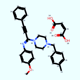 COc1ccc(/N=C(/C#Cc2ccccc2)N2CCN(Cc3ccc(C)cc3)CC2)cc1.O=C(O)/C=C\C(=O)O